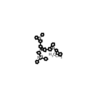 CC1(C)c2ccccc2-c2ccc(-n3c4ccccc4c4cc(-c5ccc6c(c5)c5cc(-c7ccc8c(c7)c7ccccc7n8-c7ccccc7)ccc5n6-c5cccc(-c6nc(-c7ccccc7)cc(-c7ccccc7)n6)c5)ccc43)cc21